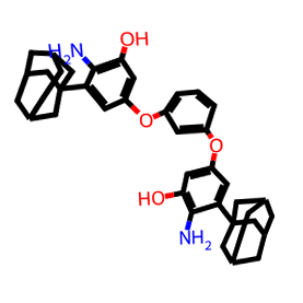 Nc1c(O)cc(Oc2cccc(Oc3cc(O)c(N)c(C45CC6CC(CC(C6)C4)C5)c3)c2)cc1C12CC3CC(CC(C3)C1)C2